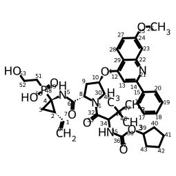 C=C[C@@H]1C[C@]1(NC(=O)[C@@H]1C[C@@H](Oc2cc(-c3ccccc3)nc3cc(OC)ccc23)CN1C(=O)C(NC(=O)OC1CCCC1)C(C)(C)C)P(=O)(O)CCO